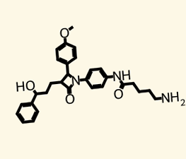 COc1ccc(C2C(CCC(O)c3ccccc3)C(=O)N2c2ccc(NC(=O)CCCCN)cc2)cc1